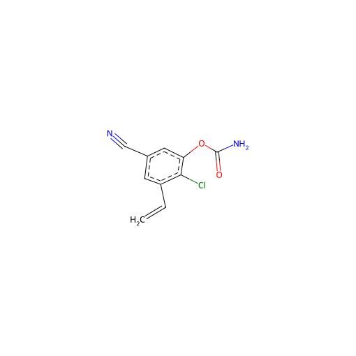 C=Cc1cc(C#N)cc(OC(N)=O)c1Cl